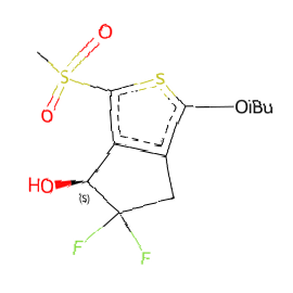 CC(C)COc1sc(S(C)(=O)=O)c2c1CC(F)(F)[C@H]2O